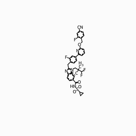 CC(C)(Cn1c(Cc2ccc(-c3cccc(OCc4ccc(C#N)cc4F)n3)cc2F)nc2ccc(C(=O)NS(=O)(=O)C3CC3)cc21)C(F)F